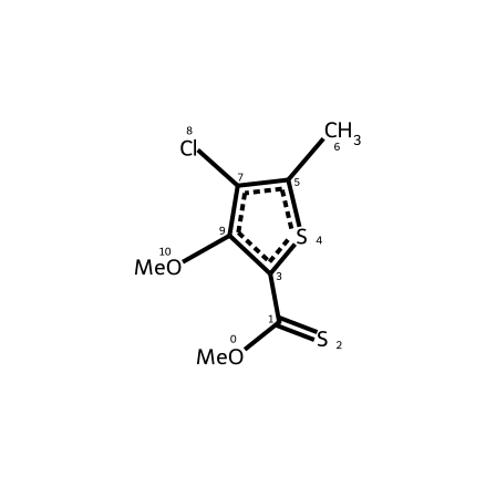 COC(=S)c1sc(C)c(Cl)c1OC